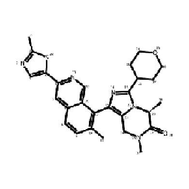 Cc1ncc(-c2cc3ccc(C)c(-c4nc(C5CCOCC5)n5c4CN(C)C(=O)[C@@H]5C)c3cn2)s1